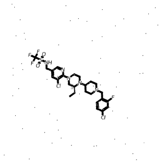 CC[C@H]1CN(c2ncc(CNS(=O)(=O)C(F)(F)F)cc2Cl)CCN1C1CCN(Cc2ccc(Cl)cc2F)CC1